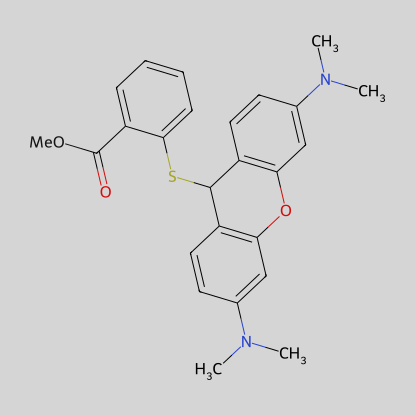 COC(=O)c1ccccc1SC1c2ccc(N(C)C)cc2Oc2cc(N(C)C)ccc21